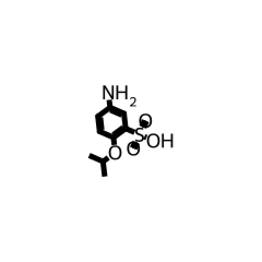 CC(C)Oc1ccc(N)cc1S(=O)(=O)O